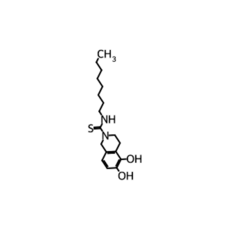 CCCCCCCCNC(=S)N1CCc2c(ccc(O)c2O)C1